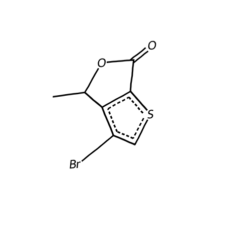 CC1OC(=O)c2scc(Br)c21